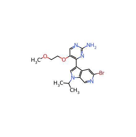 COCCOc1cnc(N)nc1-c1cn(C(C)C)c2cnc(Br)cc12